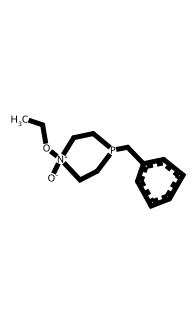 CCO[N+]1([O-])CCP(Cc2ccccc2)CC1